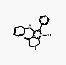 Nn1c2c(c(NC3C=CC=CC3)c1-c1ccncc1)C(=O)CNC2